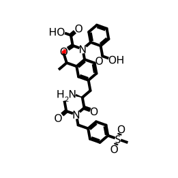 CC(=O)N(Cc1ccc(S(C)(=O)=O)cc1)C(=O)[C@@H](N)Cc1ccc(N(C(=O)C(=O)O)c2ccccc2C(=O)O)c(C(C)C)c1